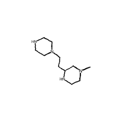 CN1CCNC(CCN2CCNCC2)C1